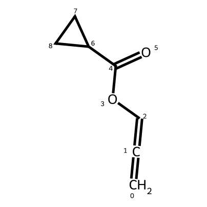 C=C=COC(=O)C1CC1